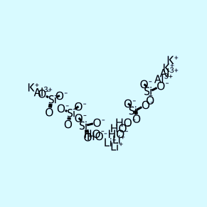 O=[Si]([O-])[O-].O=[Si]([O-])[O-].O=[Si]([O-])[O-].O=[Si]([O-])[O-].O=[Si]([O-])[O-].[Al+3].[Al+3].[Al+3].[K+].[K+].[K+].[Li+].[Li+].[Li+].[OH-].[OH-].[OH-].[OH-].[OH-]